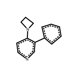 [c]1nccc(N2CCC2)c1-c1ccccc1